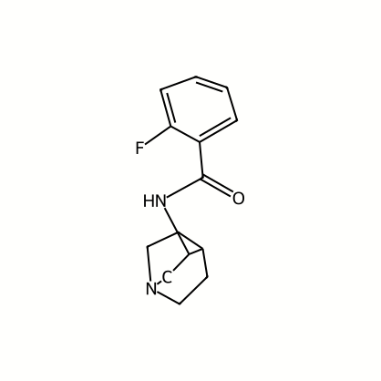 O=C(NC1CN2CCC1CC2)c1ccccc1F